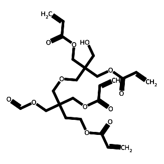 C=CC(=O)OCCC(COC=O)(COCC(CO)(COC(=O)C=C)COC(=O)C=C)COC(=O)C=C